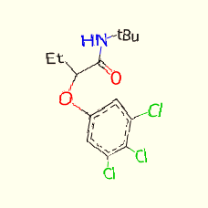 CCC(Oc1cc(Cl)c(Cl)c(Cl)c1)C(=O)NC(C)(C)C